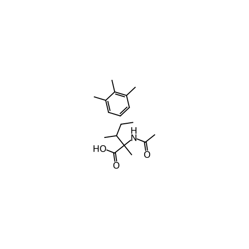 CCC(C)C(C)(NC(C)=O)C(=O)O.Cc1cccc(C)c1C